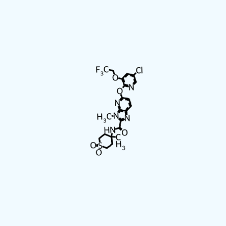 Cn1c(C(=O)NC2(C)CCS(=O)(=O)CC2)nc2ccc(Oc3ncc(Cl)cc3OCC(F)(F)F)nc21